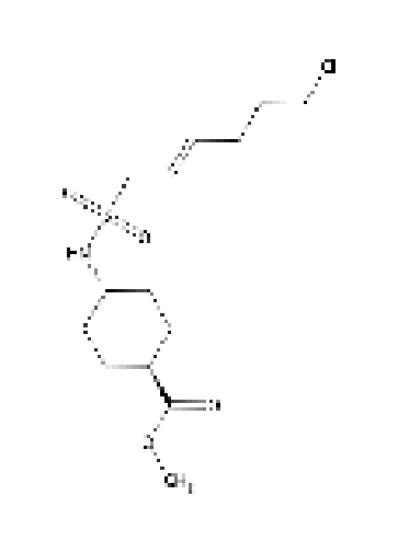 COC(=O)[C@H]1CC[C@H](NS(=O)(=O)CC=CCCCCl)CC1